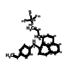 C=Cc1ccc(Nc2ccc3cccc4c3c2C([OH+]CC)C=C4)cc1.F[B-](F)(F)F